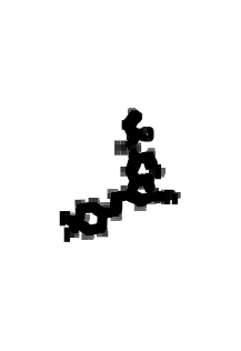 C=CC(=O)Nc1cnc2c(c1)c(/C=C/C1CCC(F)(F)CC1)cn2C(C)C